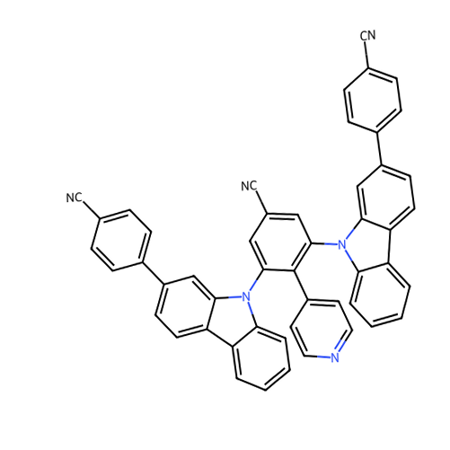 N#Cc1ccc(-c2ccc3c4ccccc4n(-c4cc(C#N)cc(-n5c6ccccc6c6ccc(-c7ccc(C#N)cc7)cc65)c4-c4ccncc4)c3c2)cc1